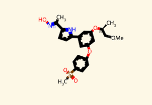 COC[C@H](C)Oc1cc(Oc2ccc(S(C)(=O)=O)cc2)cc(-c2ccc(/C(C)=N/O)[nH]2)c1